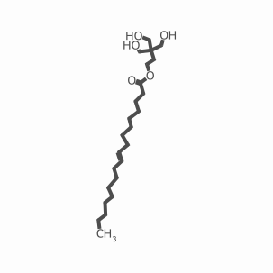 CCCCCCCCC=CCCCCCCCC(=O)OCCC(CO)(CO)CO